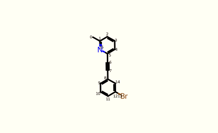 Cc1cccc(C#Cc2cccc(Br)c2)n1